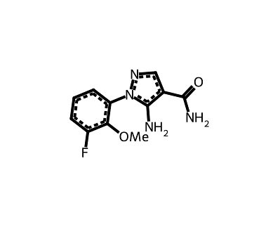 COc1c(F)cccc1-n1ncc(C(N)=O)c1N